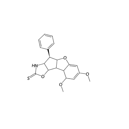 COC1=CC(OC)C2C(=C1)OC1C2C2OC(=S)NC2[C@H]1c1ccccc1